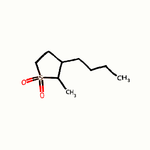 CCCCC1CCS(=O)(=O)C1C